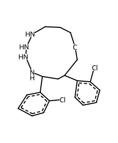 Clc1ccccc1C1CCCCCNNNNC(c2ccccc2Cl)C1